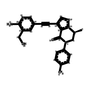 C[C@H]1CN(c2ccc(C(F)(F)F)cc2)C(=O)c2c(C#Cc3cnc(N)c(CO)c3)cnn21